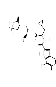 CC1(C)C[C@@H](CC(C#N)NC(=O)C(CC2CC2)NC(=O)c2cc3ccc(Cl)c(F)c3[nH]2)C(=O)N1